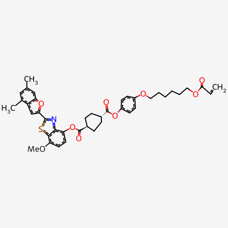 C=CC(=O)OCCCCCCOc1ccc(OC(=O)[C@H]2CC[C@H](C(=O)Oc3ccc(OC)c4sc(-c5cc6c(C)cc(C)cc6o5)nc34)CC2)cc1